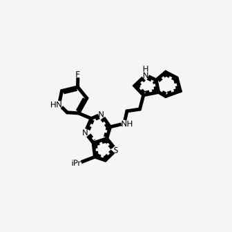 CC(C)c1csc2c(NCCc3c[nH]c4ccccc34)nc(C3=CC(F)=CNC3)nc12